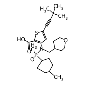 CC1CCC(P(C)(=O)N(CC2CCOCC2)c2cc(C#CC(C)(C)C)sc2C(=O)O)CC1